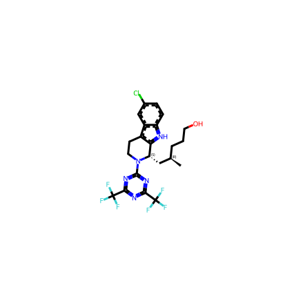 C[C@H](CCCO)C[C@H]1c2[nH]c3ccc(Cl)cc3c2CCN1c1nc(C(F)(F)F)nc(C(F)(F)F)n1